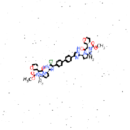 COC(=O)N[C@H](C(=O)N1[C@H](C)CC[C@H]1c1nc(-c2ccc(-c3ccc(-c4nc([C@@H]5CC[C@@H](C)N5C(=O)[C@@H](NC(=O)OC)[C@H]5CCCOC5)[nH]c4Cl)cc3)cc2)c[nH]1)[C@H]1CCCOC1